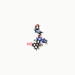 CCc1c(F)ccc2cc(O)cc(-c3c(C#N)cc4c(N5CC6CCC(C5)N6)nc(OCC5(CN6CCC7(CCOCC7)C6)CC5)nc4c3F)c12